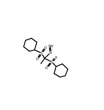 CC(N=N)(S(=O)(=O)C1CCCCC1)S(=O)(=O)C1CCCCC1